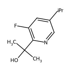 CC(C)c1cnc(C(C)(C)O)c(F)c1